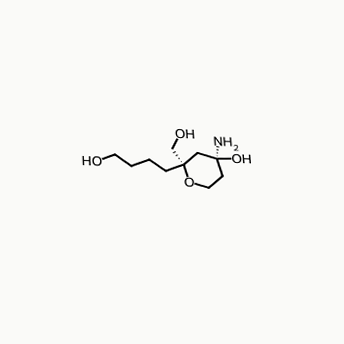 N[C@]1(O)CCO[C@@](CO)(CCCCO)C1